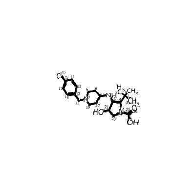 CC(C)(C)C1C(NC2CCN(Cc3ccc(Cl)cc3)CC2)C(O)CN1C(=O)O